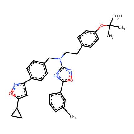 CC(C)(Oc1ccc(CCN(Cc2ccc(-c3cc(C4CC4)on3)cc2)c2noc(-c3cccc(C(F)(F)F)c3)n2)cc1)C(=O)O